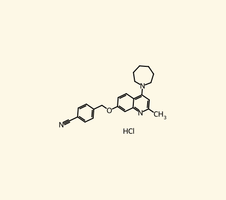 Cc1cc(N2CCCCCC2)c2ccc(OCc3ccc(C#N)cc3)cc2n1.Cl